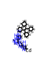 [Cd].c1c[nH]nn1.c1c[nH]nn1.c1c[nH]nn1.c1c[nH]nn1.c1ccc(C(=C(c2ccccc2)c2ccccc2)c2ccccc2)cc1